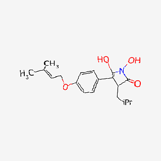 CC(C)=CCOc1ccc(C2=C(O)N(O)C(=O)C2CC(C)C)cc1